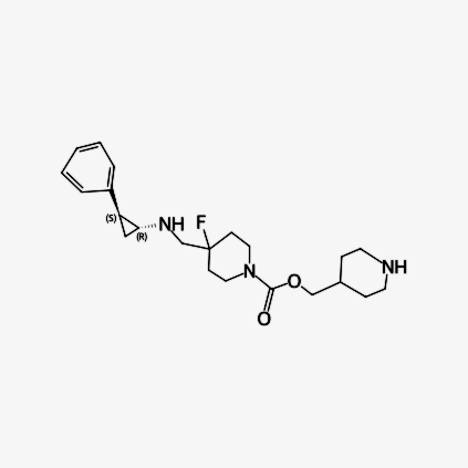 O=C(OCC1CCNCC1)N1CCC(F)(CN[C@@H]2C[C@H]2c2ccccc2)CC1